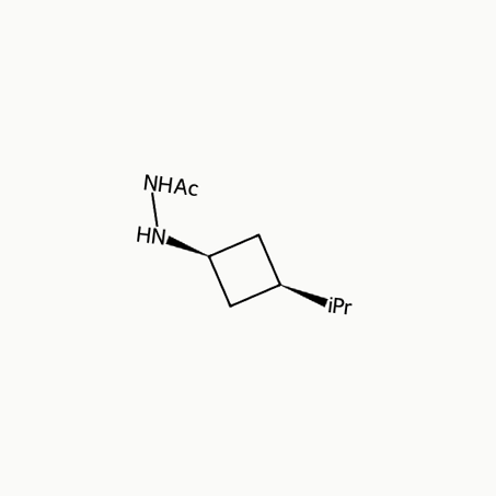 CC(=O)NN[C@H]1C[C@@H](C(C)C)C1